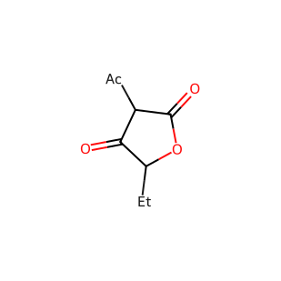 CCC1OC(=O)C(C(C)=O)C1=O